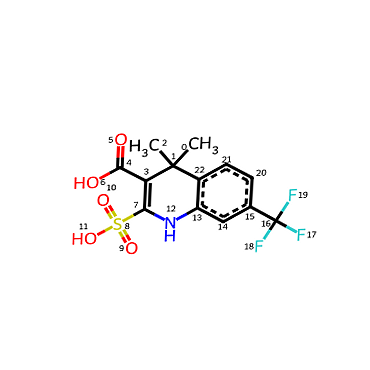 CC1(C)C(C(=O)O)=C(S(=O)(=O)O)Nc2cc(C(F)(F)F)ccc21